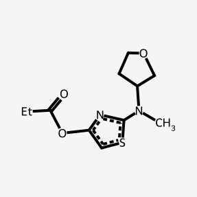 CCC(=O)Oc1csc(N(C)C2CCOC2)n1